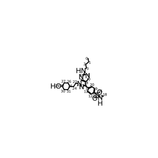 CCCCNc1ncc2c(-c3ccc(S(=O)(=O)NC)cc3)nn(CCC3CCC(O)CC3)c2n1